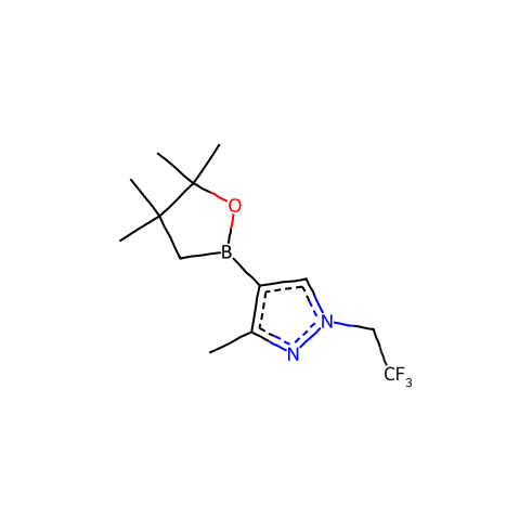 Cc1nn(CC(F)(F)F)cc1B1CC(C)(C)C(C)(C)O1